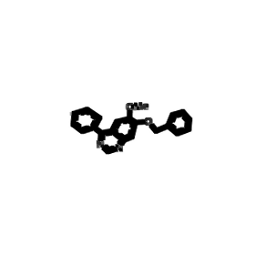 COc1cc2c(-c3cc[c]cc3)ncnc2cc1OCc1ccccc1